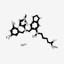 CCN(CCCCC(=O)OC)c1cc2c(cc1CN(Cc1cc(C#N)cc(C(F)(F)F)c1)c1ccn(C)n1)CCC2.Cl